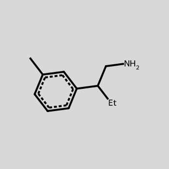 CCC(CN)c1cccc(C)c1